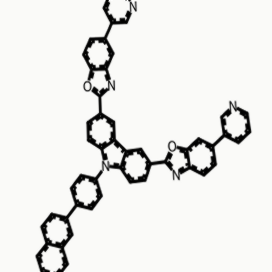 c1cncc(-c2ccc3oc(-c4ccc5c(c4)c4cc(-c6nc7ccc(-c8cccnc8)cc7o6)ccc4n5-c4ccc(-c5ccc6ccccc6c5)cc4)nc3c2)c1